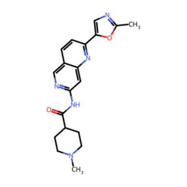 Cc1ncc(-c2ccc3cnc(NC(=O)C4CCN(C)CC4)cc3n2)o1